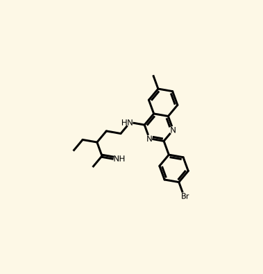 CCC(CCNc1nc(-c2ccc(Br)cc2)nc2ccc(C)cc12)C(C)=N